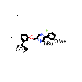 CCCCc1nc(COc2cccc([C@@H](CC(=O)O)C3CC3)c2)cnc1-c1cc(OC)ccc1F